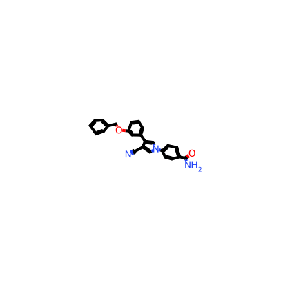 N#Cc1cn(-c2ccc(C(N)=O)cc2)cc1-c1cccc(OCc2ccccc2)c1